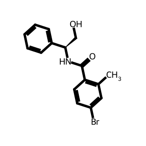 Cc1cc(Br)ccc1C(=O)N[C@H](CO)c1ccccc1